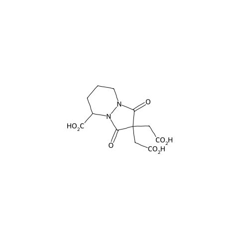 O=C(O)CC1(CC(=O)O)C(=O)N2CCCC(C(=O)O)N2C1=O